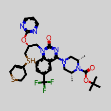 C[C@@H]1CN(c2nc(=O)n3c4c(cc(C(F)(F)F)cc24)[SH](C2=CCSCC2)C[C@@H](Oc2ncccn2)C3)C[C@H](C)N1C(=O)OC(C)(C)C